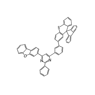 c1ccc(-c2nc(-c3cccc(-c4ccc5c(c4)C4(c6ccccc6S5)c5ccccc5-c5ccccc54)c3)cc(-c3ccc4c(c3)oc3ccccc34)n2)cc1